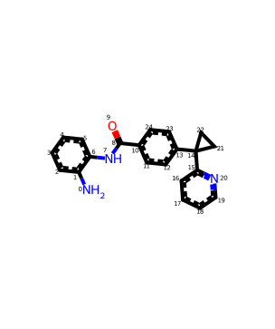 Nc1ccccc1NC(=O)c1ccc(C2(c3ccccn3)CC2)cc1